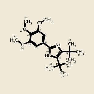 COc1cc(-c2nc(C(C)(C)C)c(C(C)(C)C)[nH]2)cc(OC)c1OC